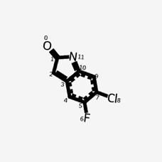 O=C1C=c2cc(F)c(Cl)cc2=N1